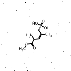 COC(=O)C(N)C=C(C)CP(=O)(O)O